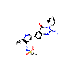 COc1ncc(-c2ccc3nc(N)n(-c4ccccc4)c(=O)c3c2)cc1NS(C)(=O)=O